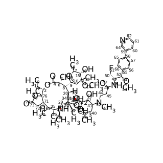 CC[C@H]1OC(=O)[C@H](C)C([C@H]2C[C@@](C)(OC)[C@@H](O)[C@H](C)O2)[C@@H]2C(N)CNC(C)([C@H](C)C[C@@](C)(OC)[C@@H]2O[C@@H]2O[C@H](C)C[C@H](N(C)CCC(=O)N[C@H](CF)[C@H](OC)c3ccc(-c4cccnc4)cc3)[C@H]2O)[C@H](C)[C@H]2CC(=O)O[C@@]21C